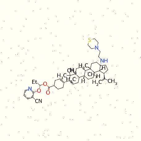 C=C(C)[C@@H]1CC[C@]2(NCCN3CCSCC3)CC[C@]3(C)[C@H](CC[C@@H]4[C@@]5(C)CC=C(C6=CCC(C(=O)OC(CC)Oc7ncccc7C#N)CC6)C(C)(C)[C@@H]5CC[C@]43C)[C@@H]12